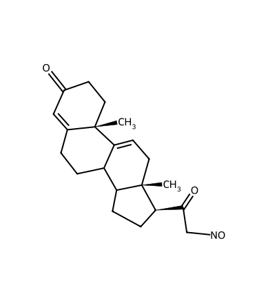 C[C@]12CCC(=O)C=C1CCC1C2=CC[C@@]2(C)C1CC[C@@H]2C(=O)CN=O